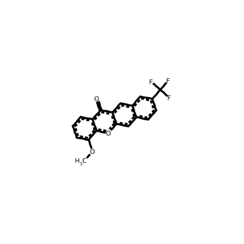 COc1cccc2c(=O)c3cc4cc(C(F)(F)F)ccc4cc3oc12